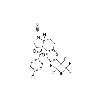 N#CN1CC[C@@]2(S(=O)(=O)c3ccc(F)cc3)c3ccc(C(F)(C(F)(F)F)C(F)(F)F)cc3CC[C@@H]12